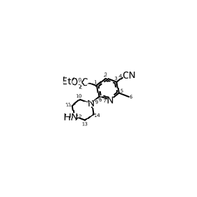 CCOC(=O)c1cc(C#N)c(C)nc1N1CCNCC1